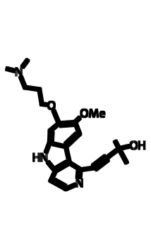 COc1cc2c(cc1OCCCN(C)C)[nH]c1ccnc(C#CC(C)(C)O)c12